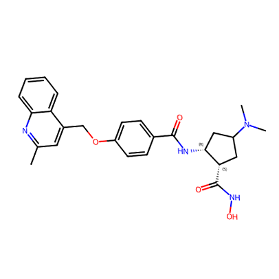 Cc1cc(COc2ccc(C(=O)N[C@@H]3CC(N(C)C)C[C@@H]3C(=O)NO)cc2)c2ccccc2n1